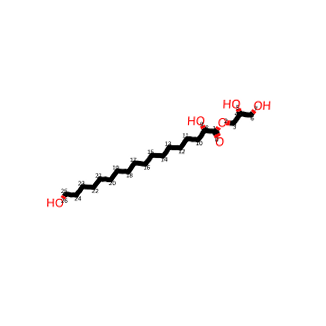 O=C(OCC(O)CO)C(O)CCCCCCCCCCCCCCCCO